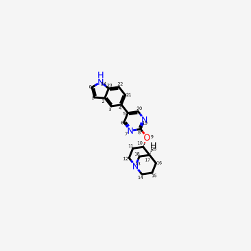 c1cc2cc(-c3cnc(O[C@H]4CCN5CCC[C@H]4C5)nc3)ccc2[nH]1